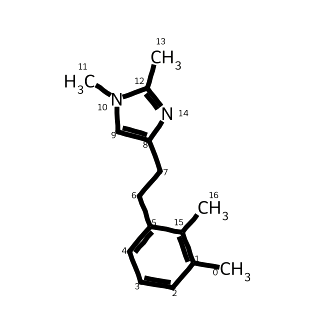 Cc1cccc(CCc2cn(C)c(C)n2)c1C